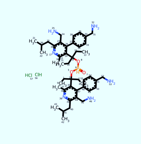 CCC(CC)(O[PH](=O)OC(CC)(CC)c1c(C)nc(CC(C)C)c(CN)c1-c1ccc(CN)cc1)c1c(C)nc(CC(C)C)c(CN)c1-c1ccc(CN)cc1.Cl.Cl